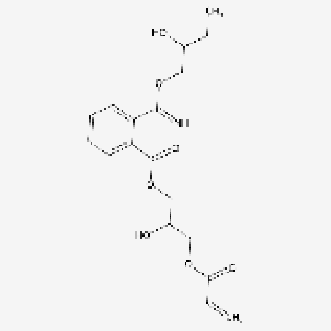 C=CC(=O)OCC(O)COC(=O)c1ccccc1C(=N)OCC(O)CC